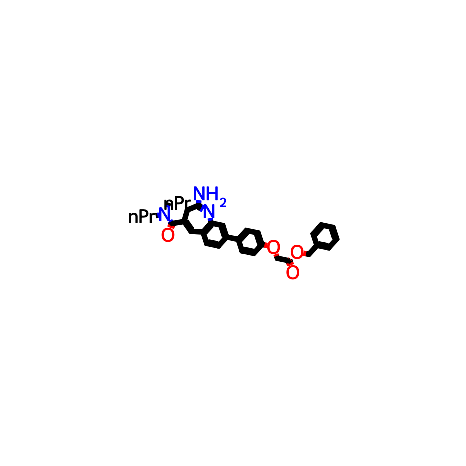 CCCN(CCC)C(=O)C1=Cc2ccc(-c3ccc(OCC(=O)OCc4ccccc4)cc3)cc2N=C(N)C1